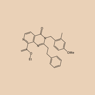 C=C(OCC)c1nccc2c(=O)n(Cc3ccc(OC)cc3C)c(CCc3ccccc3)nc12